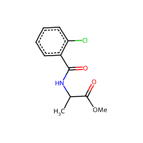 COC(=O)C(C)NC(=O)c1ccccc1Cl